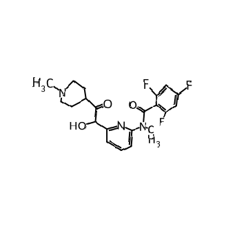 CN1CCC(C(=O)C(O)c2cccc(N(C)C(=O)c3c(F)cc(F)cc3F)n2)CC1